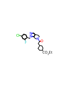 CCOC(=O)C1CCC(CC(=O)N2CCc3cnn(Cc4ccc(Cl)cc4F)c3C2)CC1